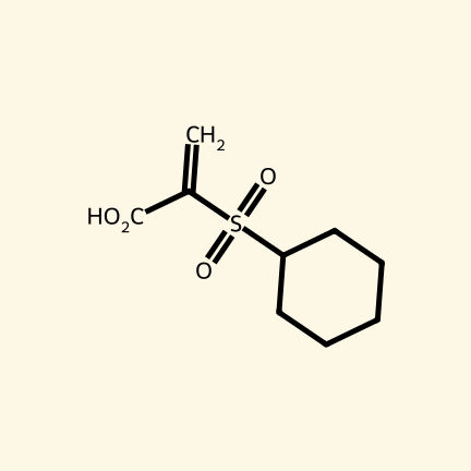 C=C(C(=O)O)S(=O)(=O)C1CCCCC1